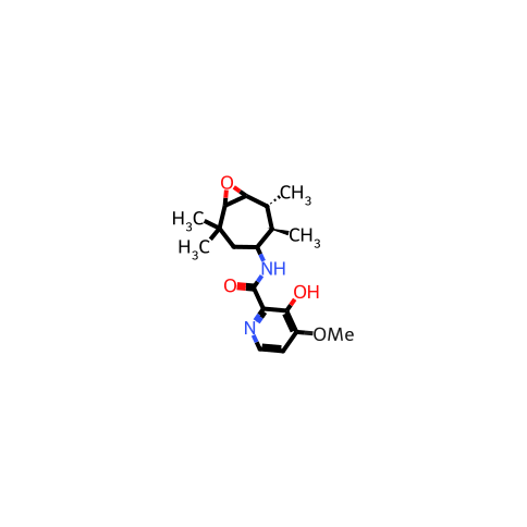 COc1ccnc(C(=O)NC2CC(C)(C)C3OC3[C@H](C)[C@H]2C)c1O